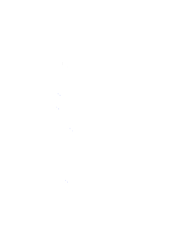 CSc1nn2ccc(-c3ccncc3)nc2c1S(=O)(=O)c1ccccc1